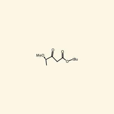 CO[C@H](C)C(=O)CC(=O)OC(C)(C)C